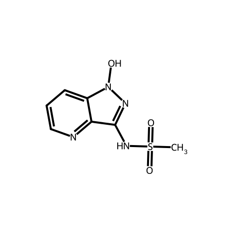 CS(=O)(=O)Nc1nn(O)c2cccnc12